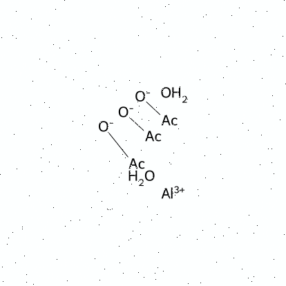 CC(=O)[O-].CC(=O)[O-].CC(=O)[O-].O.O.[Al+3]